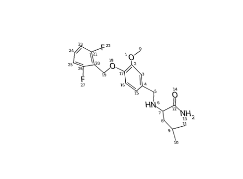 COc1cc(CNC(CC(C)C)C(N)=O)ccc1OCc1c(F)cccc1F